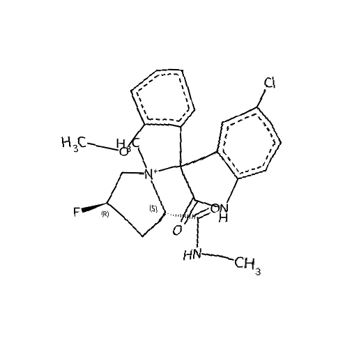 CNC(=O)[C@@H]1C[C@@H](F)C[N+]1(C)C1(c2ccccc2OC)C(=O)Nc2ccc(Cl)cc21